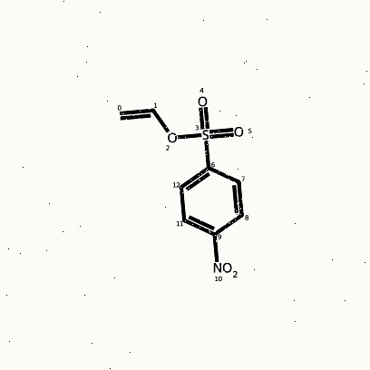 C=COS(=O)(=O)c1ccc([N+](=O)[O-])cc1